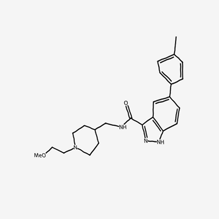 COCCN1CCC(CNC(=O)c2n[nH]c3ccc(-c4ccc(C)cc4)cc23)CC1